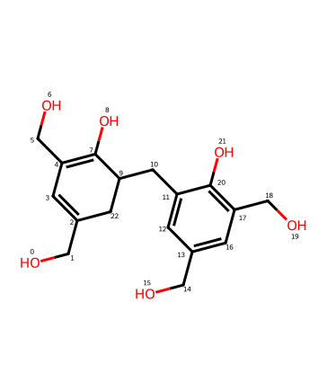 OCC1=CC(CO)=C(O)C(Cc2cc(CO)cc(CO)c2O)C1